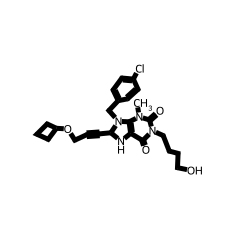 Cn1c2c(c(=O)n(CCCCO)c1=O)NC(C#CCOC1CCC1)N2Cc1ccc(Cl)cc1